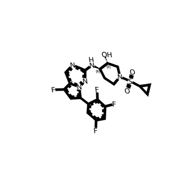 O=S(=O)(C1CC1)N1CC[C@@H](Nc2ncc3c(F)cc(-c4cc(F)cc(F)c4F)n3n2)[C@H](O)C1